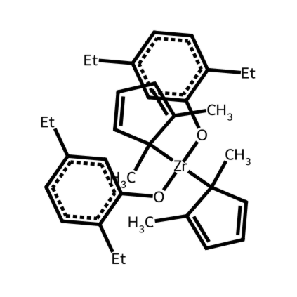 CCc1ccc(CC)c([O][Zr]([O]c2cc(CC)ccc2CC)([C]2(C)C=CC=C2C)[C]2(C)C=CC=C2C)c1